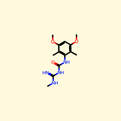 CNC(=N)NC(=O)Nc1c(C)c(OC)cc(OC)c1C